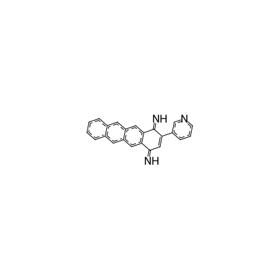 N=C1C=C(c2cccnc2)C(=N)c2cc3cc4ccccc4cc3cc21